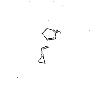 C1=CNCC1.C=CN1CC1